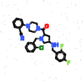 N#Cc1ccccc1N1CCN(C(=O)C2CC(NCc3ccc(F)cc3F)CN2Cc2ccccc2Cl)CC1